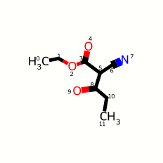 CCOC(=O)C(C#N)C(=O)CC